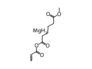 C=CC(=O)OC(=O)CCCCC(=O)OC.[MgH2]